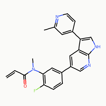 C=CC(=O)N(C)c1cc(-c2cnc3[nH]cc(-c4ccnc(C)c4)c3c2)ccc1F